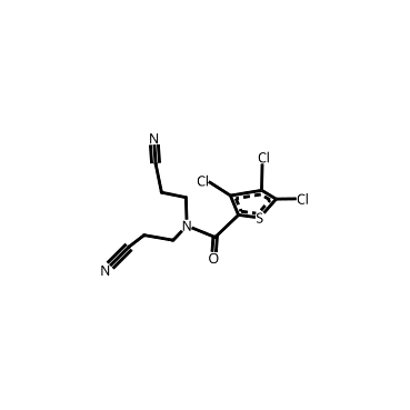 N#CCCN(CCC#N)C(=O)c1sc(Cl)c(Cl)c1Cl